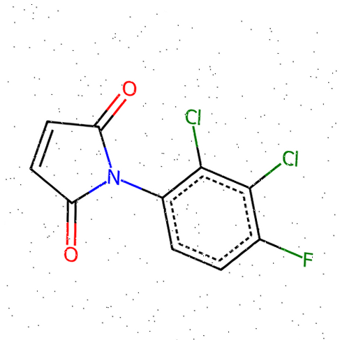 O=C1C=CC(=O)N1c1ccc(F)c(Cl)c1Cl